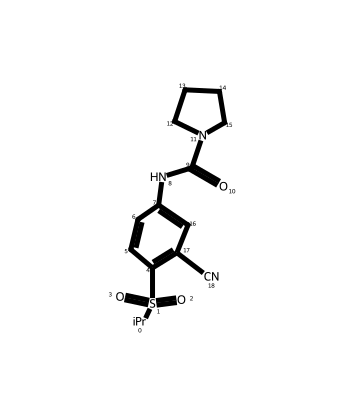 CC(C)S(=O)(=O)c1ccc(NC(=O)N2CCCC2)cc1C#N